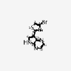 Brc1csc(-c2c[nH]c3nccnc23)n1